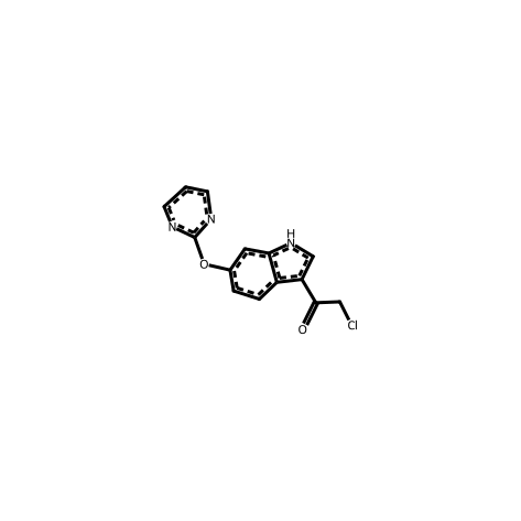 O=C(CCl)c1c[nH]c2cc(Oc3ncccn3)ccc12